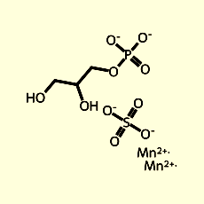 O=P([O-])([O-])OCC(O)CO.O=S(=O)([O-])[O-].[Mn+2].[Mn+2]